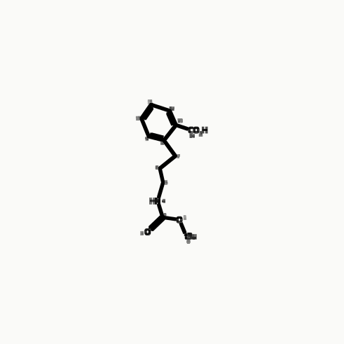 CC(C)(C)OC(=O)NCCCc1ccccc1C(=O)O